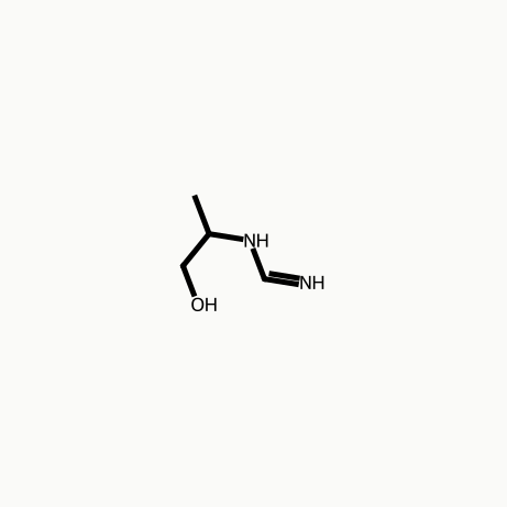 CC(CO)NC=N